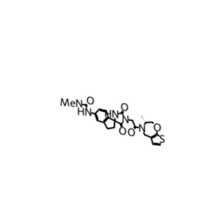 CNC(=O)Nc1ccc2c(c1)CCC21NC(=O)N(CC(=O)N2Cc3ccsc3OC[C@H]2C)C1=O